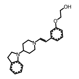 OCCOc1cccc(C=CN2CCC(N3CCc4ccccc43)CC2)c1